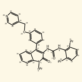 CCCn1c(=O)c(NC(=O)Nc2c(C(C)C)cccc2C(C)C)c(-c2cccc(OCc3ccncc3)c2)c2cccnc21